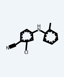 Cc1ccccc1Nc1ccc(C#N)c(Cl)c1